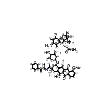 CO[C@@]12[C@H](COC(N)=O)C3=C(C(=O)C(C)=C(N)C3=O)N1C[C@@H]1N[C@@H]12.COc1cccc2c1C(=O)c1c(O)c3c(c(O)c1C2=O)C[C@@](O)(/C(C)=N/NC(=O)c1ccccc1)C[C@@H]3O[C@H]1C[C@H](N)[C@H](O)[C@H](C)O1